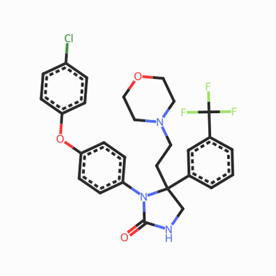 O=C1NCC(CCN2CCOCC2)(c2cccc(C(F)(F)F)c2)N1c1ccc(Oc2ccc(Cl)cc2)cc1